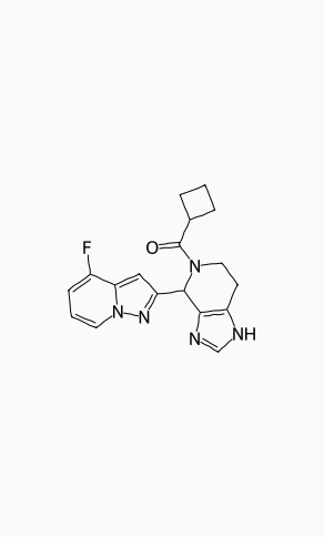 O=C(C1CCC1)N1CCc2[nH]cnc2C1c1cc2c(F)cccn2n1